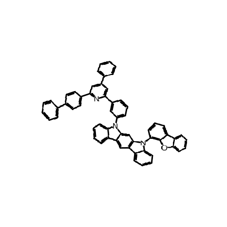 c1ccc(-c2ccc(-c3cc(-c4ccccc4)cc(-c4cccc(-n5c6ccccc6c6cc7c8ccccc8n(-c8cccc9c8oc8ccccc89)c7cc65)c4)n3)cc2)cc1